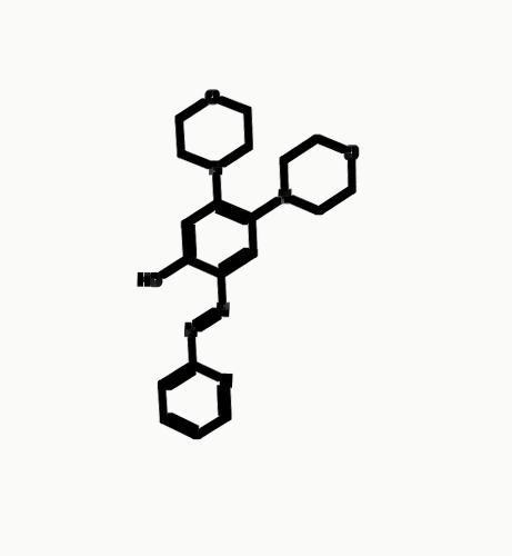 Oc1cc(N2CCOCC2)c(N2CCOCC2)cc1N=Nc1ccccn1